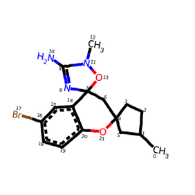 CC1CCC2(C1)CC1(N=C(N)N(C)O1)c1cc(Br)ccc1O2